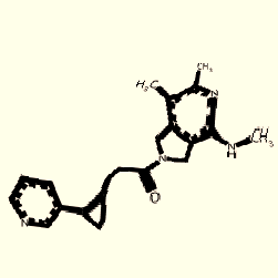 CNc1nc(C)c(C)c2c1CN(C(=O)CC1CC1c1cccnc1)C2